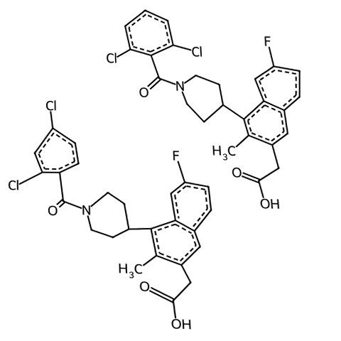 Cc1c(CC(=O)O)cc2ccc(F)cc2c1C1CCN(C(=O)c2c(Cl)cccc2Cl)CC1.Cc1c(CC(=O)O)cc2ccc(F)cc2c1C1CCN(C(=O)c2ccc(Cl)cc2Cl)CC1